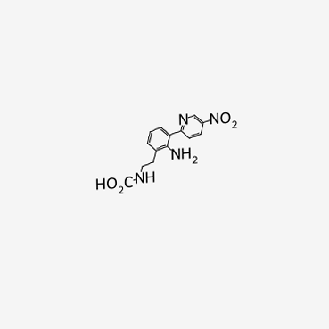 Nc1c(CCNC(=O)O)cccc1-c1ccc([N+](=O)[O-])cn1